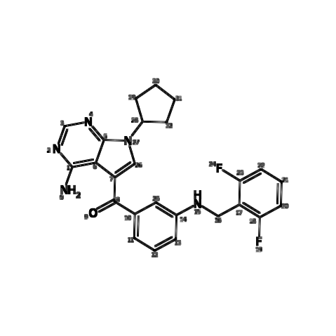 Nc1ncnc2c1c(C(=O)c1cccc(NCc3c(F)cccc3F)c1)cn2C1CCCC1